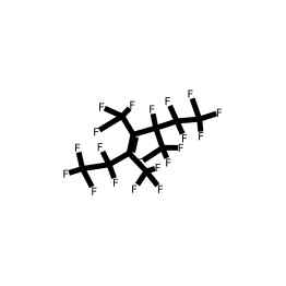 FC(F)(F)C(=C(C(F)(F)F)C(F)(C(F)(F)F)C(F)(F)C(F)(F)F)C(F)(F)C(F)(F)F